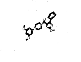 COc1cc(OC)cc(N2CCN(C(=O)c3sc(OC)nc3-c3ccccc3)CC2)c1